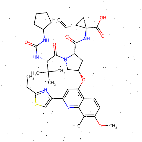 C=C[C@@H]1C[C@]1(NC(=O)[C@@H]1C[C@@H](Oc2cc(-c3csc(CC)n3)nc3c(C)c(OC)ccc23)CN1C(=O)[C@@H](NC(=O)NC1CCCC1)C(C)(C)C)C(=O)O